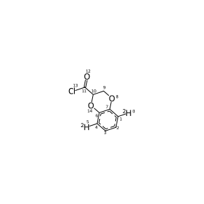 [2H]c1ccc([2H])c2c1OCC(C(=O)Cl)O2